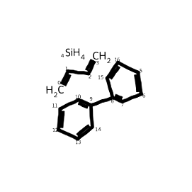 C=CC=C.[SiH4].c1ccc(-c2ccccc2)cc1